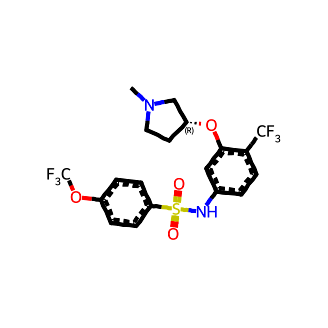 CN1CC[C@@H](Oc2cc(NS(=O)(=O)c3ccc(OC(F)(F)F)cc3)ccc2C(F)(F)F)C1